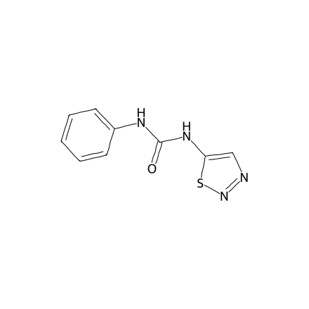 O=C(Nc1ccccc1)Nc1cnns1